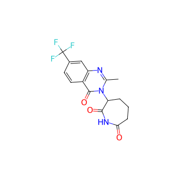 Cc1nc2cc(C(F)(F)F)ccc2c(=O)n1C1CCCC(=O)NC1=O